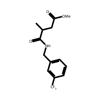 COC(=O)CC(C)C(=O)NCc1cccc(C(F)(F)F)c1